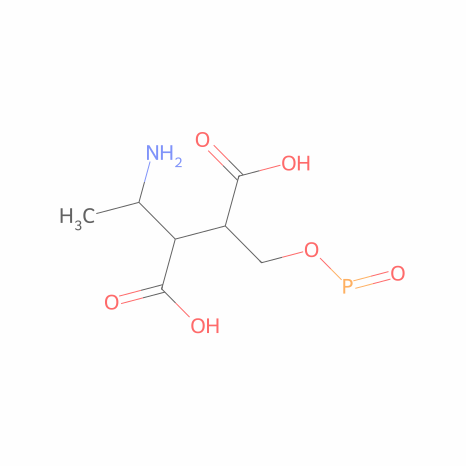 CC(N)C(C(=O)O)C(COP=O)C(=O)O